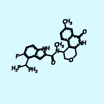 Cc1ccc2c3c([nH]c(=O)c2c1)COCC3N(C)C(=O)c1cc2c(C(P)P)c(F)ccc2[nH]1